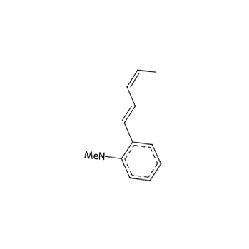 C/C=C\C=C\c1ccccc1NC